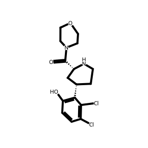 O=C([C@H]1C[C@@H](c2c(O)ccc(Cl)c2Cl)CCN1)N1CCOCC1